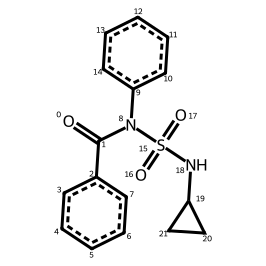 O=C(c1ccccc1)N(c1ccccc1)S(=O)(=O)NC1CC1